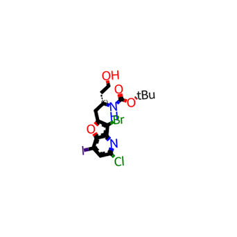 CC(C)(C)OC(=O)N[C@@H](CCO)Cc1oc2c(I)cc(Cl)nc2c1Br